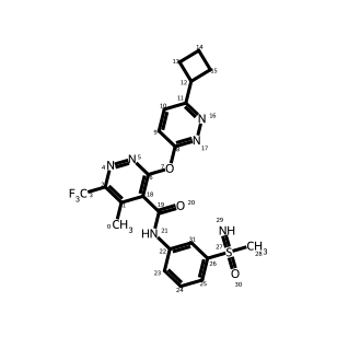 Cc1c(C(F)(F)F)nnc(Oc2ccc(C3CCC3)nn2)c1C(=O)Nc1cccc(S(C)(=N)=O)c1